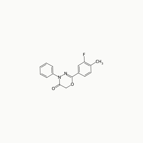 Cc1ccc(C2=NN(c3ccccc3)C(=O)CO2)cc1F